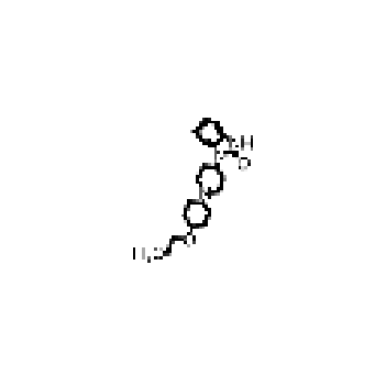 CCCO[C@H]1CC[C@@H](N2CCC(n3c(=O)[nH]c4ccccc43)CC2)CC1